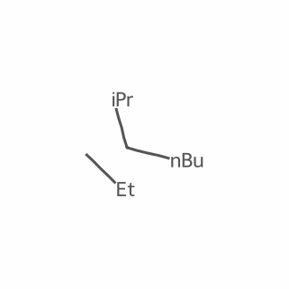 CCC.CCCCCC(C)C